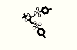 Cc1ccc(S(=O)(=O)OCC2OC(C)(C)O[C@@H]2COS(=O)(=O)c2ccc(C)cc2)cc1